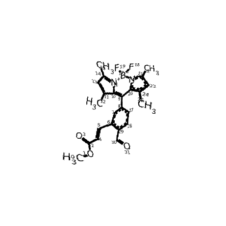 COC(=O)/C=C/c1cc(C2=C3C(C)=CC(C)=[N+]3[B-](F)(F)n3c(C)cc(C)c32)ccc1C=O